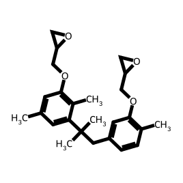 Cc1cc(OCC2CO2)c(C)c(C(C)(C)Cc2ccc(C)c(OCC3CO3)c2)c1